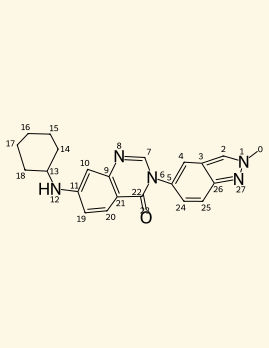 Cn1cc2cc(-n3cnc4cc(NC5CCCCC5)ccc4c3=O)ccc2n1